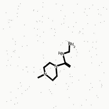 BCNC(=C)N1CCN(C)CC1